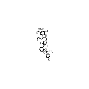 COC(=O)c1cc(Cl)c2nc(CN3C[C@@H]4C(c5cccc6c5OC(C)(c5ccc(Cl)cn5)O6)[C@@H]4C3)n(CC3CCO3)c2c1